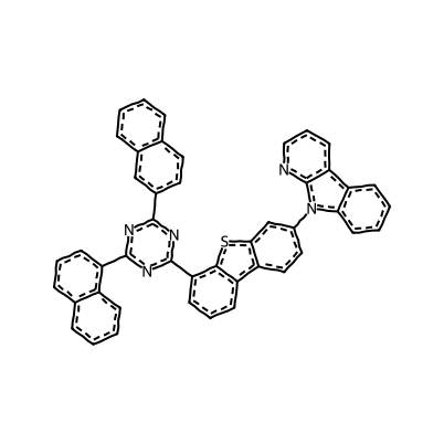 c1ccc2cc(-c3nc(-c4cccc5ccccc45)nc(-c4cccc5c4sc4cc(-n6c7ccccc7c7cccnc76)ccc45)n3)ccc2c1